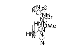 COc1nc(N2CCC(N(C)C)CC2)c(C2=CN(C)NN2)cc1Nc1ncc(Br)c(Nc2ccc3nccnc3c2P(C)(C)=O)n1